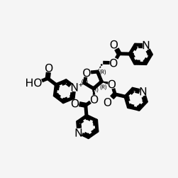 O=C(O)c1ccc[n+]([C@@H]2O[C@H](COC(=O)c3cccnc3)[C@@H](OC(=O)c3cccnc3)[C@H]2OC(=O)c2cccnc2)c1